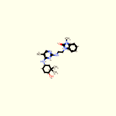 Cn1c(=O)n(CCNc2ncc(C#N)c(N[C@@H]3CC[C@H](O)C(C)(C)C3)n2)c2ccccc21